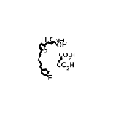 CC(N)(CO)CCc1ccc(C#CCCCc2ccc(F)cc2)s1.O=C(O)C=CC(=O)O